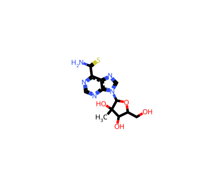 CC1(O)C(O)C(CO)OC1n1cnc2c(C(N)=S)ncnc21